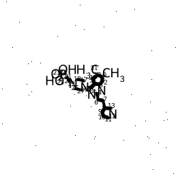 Cc1cc2nc(/C=C/c3cccnc3)nc(N3CCN(CCP(=O)(O)O)CC3)c2cc1C